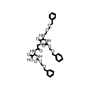 O=C(CNC(=O)C(NCOCOCc1ccccc1)NC(=O)OCOCc1ccccc1)NC(NC(=O)OCOCc1ccccc1)C(=O)O